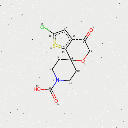 O=C1COC2(CCN(C(=O)O)CC2)c2sc(Cl)cc21